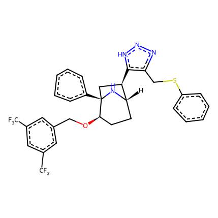 FC(F)(F)c1cc(CO[C@@H]2CC[C@@H]3N[C@@]2(c2ccccc2)C[C@H]3c2[nH]nnc2CSc2ccccc2)cc(C(F)(F)F)c1